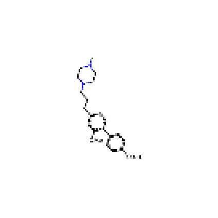 COc1cc(CCCN2CCN(C)CC2)ccc1-c1ccc(C(=O)O)cc1